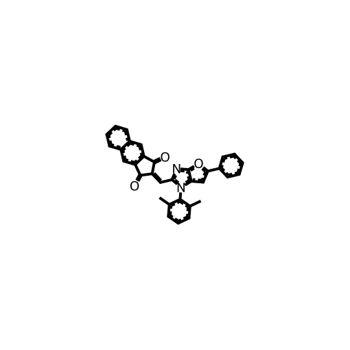 Cc1cccc(C)c1-n1c(C=C2C(=O)c3cc4ccccc4cc3C2=O)nc2oc(-c3ccccc3)cc21